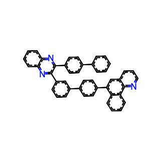 c1ccc(-c2ccc(-c3nc4ccccc4nc3-c3cccc(-c4ccc(-c5cc6cccnc6c6ccccc56)cc4)c3)cc2)cc1